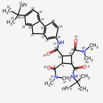 CCCC(C)(C)NC(=O)C1C(C(=O)N(C)C)C(C(=O)Nc2ccc3c(c2)Cc2cc(C(C)(C)CCC)ccc2-3)C1C(=O)N(C)C